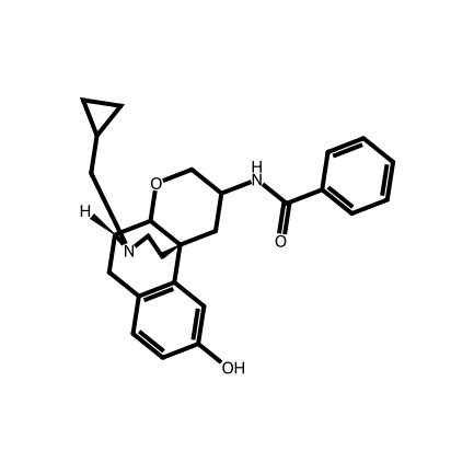 O=C(NC1COC2[C@H]3Cc4ccc(O)cc4[C@@]2(CCN3CC2CC2)C1)c1ccccc1